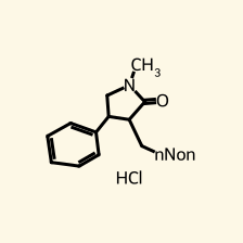 CCCCCCCCCCC1C(=O)N(C)CC1c1ccccc1.Cl